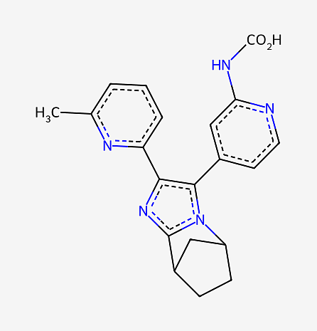 Cc1cccc(-c2nc3n(c2-c2ccnc(NC(=O)O)c2)C2CCC3C2)n1